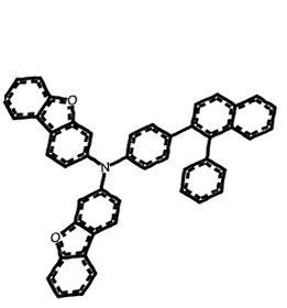 c1ccc(-c2c(-c3ccc(N(c4ccc5c(c4)oc4ccccc45)c4ccc5c(c4)oc4ccccc45)cc3)ccc3ccccc23)cc1